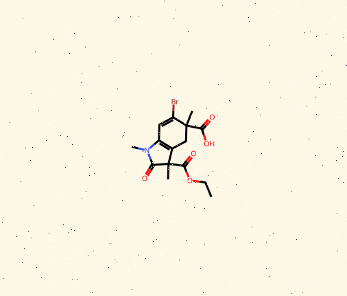 CCOC(=O)C1(C)C(=O)N(C)C2=C1CC(C)(C(=O)O)C(Br)=C2